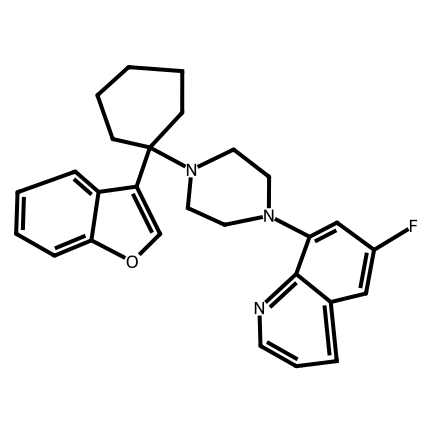 Fc1cc(N2CCN(C3(c4coc5ccccc45)CCCCC3)CC2)c2ncccc2c1